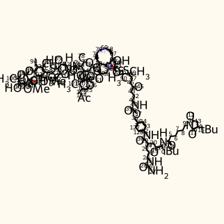 CCC(C)[C@H](NC(=O)CCCCCN1C(=O)CC(C(C)(C)C)C1=O)C(=O)C[C@@H](CCCNC(N)=O)C(=O)Nc1ccc(COC(=O)NCCCC(=O)CCC(C)(C)SSC/C=C2/C3=C(CC(=O)OC)C(=O)C[C@@]2(O)C#C/C=C\C#C[C@@H]3OC2OC(C)C(NOC3CC(O)C(SC(=O)c4c(C)c(I)c(OC5OC(C)C(O)C(OC)C5O)c(C)c4OC)C(C)O3)C(O)C2OC2CC(C)C(CC(C)=O)CO2)cc1